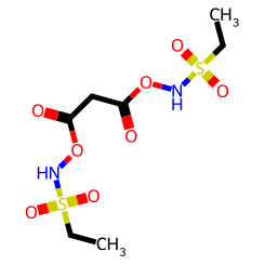 CCS(=O)(=O)NOC(=O)CC(=O)ONS(=O)(=O)CC